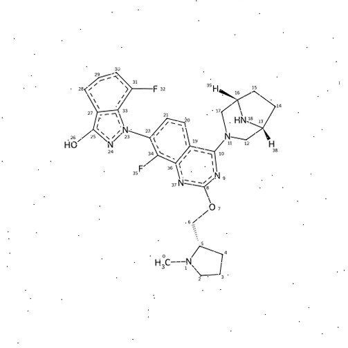 CN1CCC[C@H]1COc1nc(N2C[C@H]3CC[C@@H](C2)N3)c2ccc(-n3nc(O)c4cccc(F)c43)c(F)c2n1